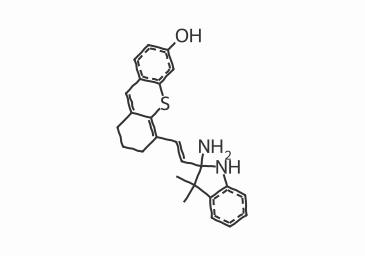 CC1(C)c2ccccc2NC1(N)C=CC1=C2Sc3cc(O)ccc3C=C2CCC1